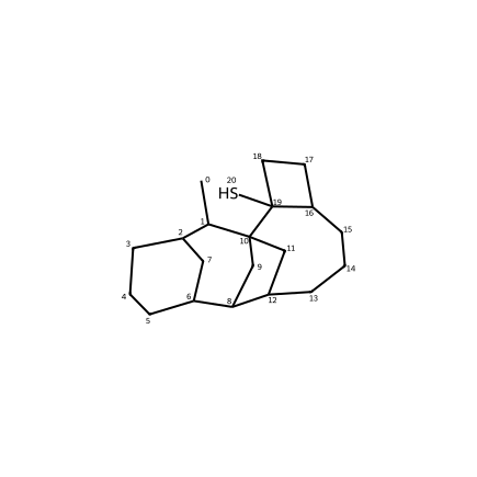 CC1C2CCCC(C2)C2CC13CC2CCCC1CCC13S